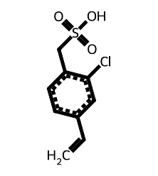 C=Cc1ccc(CS(=O)(=O)O)c(Cl)c1